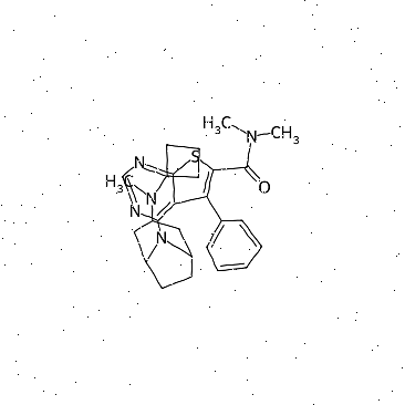 CN(C)C(=O)c1sc2ncnc(N3C4CCC3CC(N(C)C3CCC3)C4)c2c1-c1ccccc1